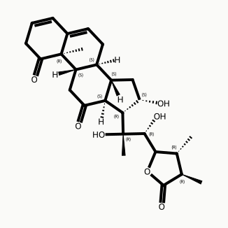 C[C@H]1C(=O)OC([C@@H](O)[C@](C)(O)[C@@H]2[C@H]3C(=O)C[C@H]4[C@@H](CC=C5C=CCC(=O)[C@@]54C)[C@@H]3C[C@@H]2O)[C@@H]1C